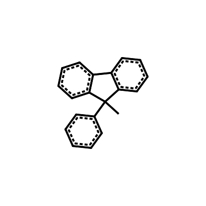 CC1(c2ccccc2)c2ccccc2-c2ccccc21